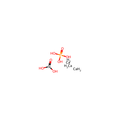 O=P(O)(O)O.O=[Si](O)O.[CaH2].[CaH2].[CaH2]